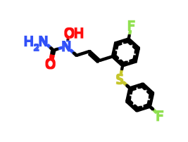 NC(=O)N(O)C/C=C/c1cc(F)ccc1Sc1ccc(F)cc1